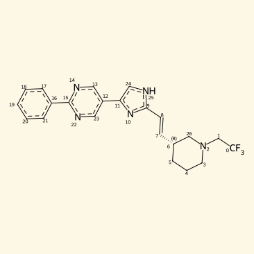 FC(F)(F)CN1CCC[C@H](C=Cc2nc(-c3cnc(-c4ccccc4)nc3)c[nH]2)C1